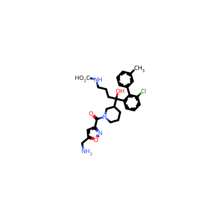 Cc1cccc(-c2c(Cl)cccc2C(O)(CCCNC(=O)O)C2CCCN(C(=O)c3cc(CN)on3)C2)c1